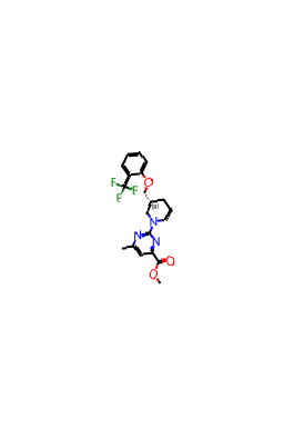 COC(=O)c1cc(C)nc(N2CCC[C@@H](COc3ccccc3C(F)(F)F)C2)n1